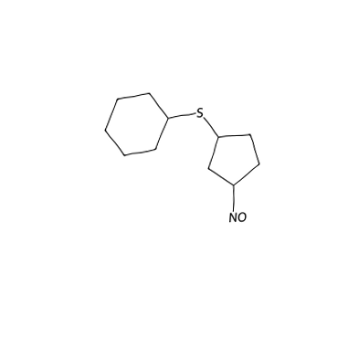 O=NC1CCC(SC2CCCCC2)C1